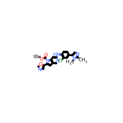 Cc1ncc(-c2ccc(Nc3cc4c(cn3)cc(-c3cnco3)n4C(=O)OC(C)(C)C)c(Cl)c2)n1C